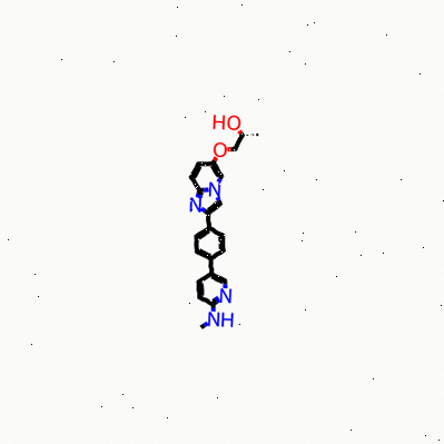 CNc1ccc(-c2ccc(-c3cn4cc(OC[C@@H](C)O)ccc4n3)cc2)cn1